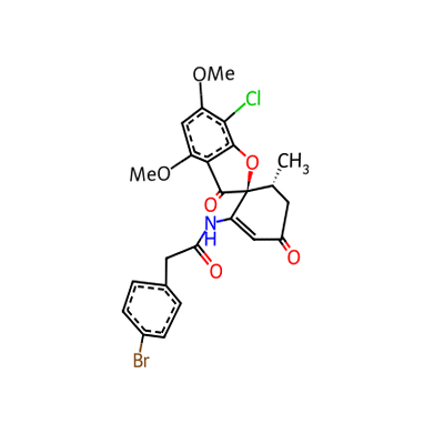 COc1cc(OC)c2c(c1Cl)O[C@]1(C2=O)C(NC(=O)Cc2ccc(Br)cc2)=CC(=O)C[C@H]1C